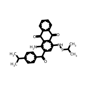 CC(C)SNc1cc(C(=O)c2ccc(C(C)C)cc2)c(N)c2c1C(=O)c1ccccc1C2=O